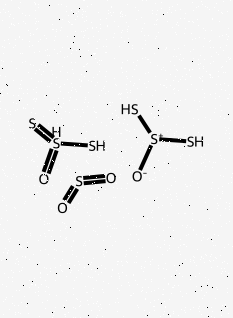 O=S=O.O=[SH](=S)S.[O-][S+](S)S